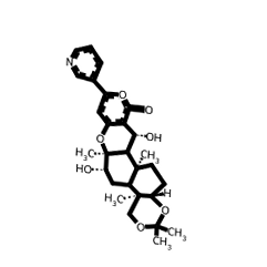 CC1(C)OC[C@@]2(C)C3C[C@H](O)[C@@]4(C)Oc5cc(-c6cccnc6)oc(=O)c5[C@H](O)C4[C@@]3(C)CC[C@@H]2O1